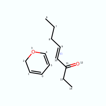 C1=CCOC=C1.CCC/C=C/C(=O)CC